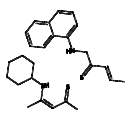 C/C=C/C(=S)CNc1cccc2ccccc12.CC(=S)/C=C(/C)NC1CCCCC1